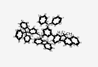 CC1(C)c2cc(-c3cc(N(c4ccccc4)c4ccccc4)cc(N(c4ccc5c(c4)C(c4ccccc4)(c4ccccc4)c4ccccc4-5)c4cccc5c4oc4ccccc45)c3)ccc2-c2ccc3ccccc3c21